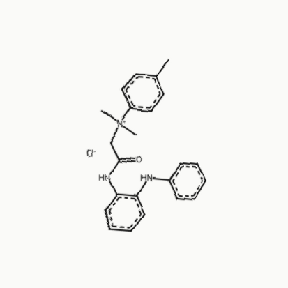 Cc1ccc([N+](C)(C)CC(=O)Nc2ccccc2Nc2ccccc2)cc1.[Cl-]